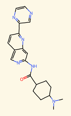 CN(C)C1CCC(C(=O)Nc2cc3nc(-c4cnccn4)ccc3cn2)CC1